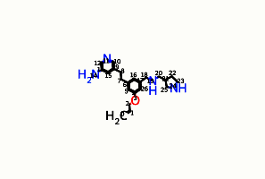 C=CCOc1cc(CCc2cncc(N)c2)cc(CNCC2CCNC2)c1